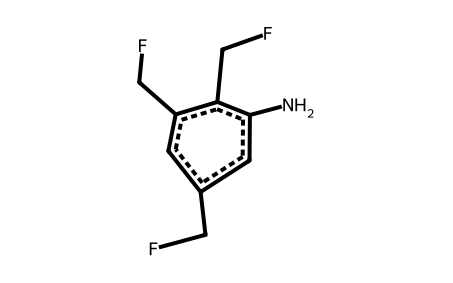 Nc1cc(CF)cc(CF)c1CF